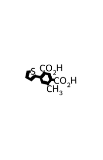 Cc1cc(-c2cccs2)c(C(=O)O)cc1C(=O)O